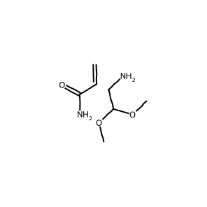 C=CC(N)=O.COC(CN)OC